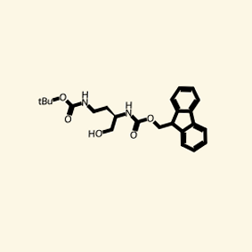 CC(C)(C)OC(=O)NCC[C@H](CO)NC(=O)OCC1c2ccccc2-c2ccccc21